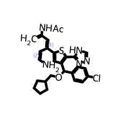 C=C(/C=C(\C=C/N)c1cc(C(OCC2CCCC2)c2ccc(Cl)cc2)c(-c2nnc[nH]2)s1)NC(C)=O